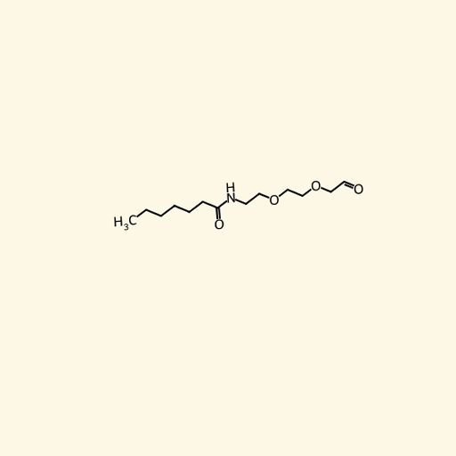 CCCCCCC(=O)NCCOCCOCC=O